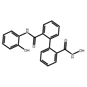 O=C(NO)c1ccccc1-c1ccccc1C(=O)Nc1ccccc1O